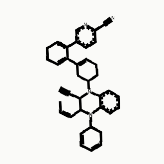 C#CC1C(/C=C\C)N(C2C=CC=CC2)c2ccccc2N1C1CCC=C(C2=CCCC=C2c2ccc(C#N)nc2)C1